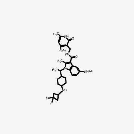 CSc1cc(C)[nH]c(=O)c1CNC(=O)c1c(C)n(C(C)C2CCC(NC3CC(F)(F)C3)CC2)c2ccc(NC(C)=O)cc12